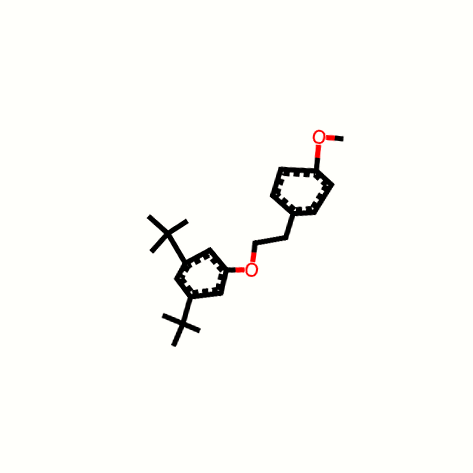 COc1ccc(CCOc2cc(C(C)(C)C)cc(C(C)(C)C)c2)cc1